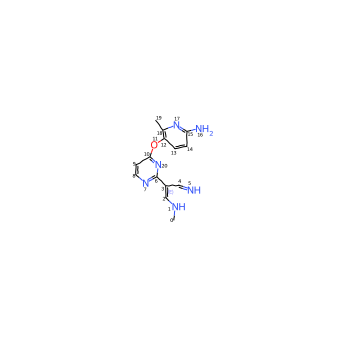 CN/C=C(\C=N)c1nccc(Oc2ccc(N)nc2C)n1